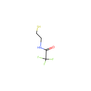 O=C(NCCS)C(F)(F)F